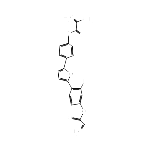 C=CC(=O)Oc1ccc(-c2ccc(-c3ccc(OC(=O)C(=C)C)cc3)o2)c(F)c1